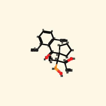 COc1cccc(OC)c1C(=O)C1(C(C)(P=O)C(=O)OCC(C)C)CCCC1